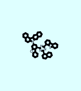 c1ccc2cc3c(cc2c1)c1c2ccccc2ccc1n3-c1cc(-c2nc(-c3cccc4ccccc34)nc(-c3cccc4c3sc3ccccc34)n2)c2c(c1)oc1ccccc12